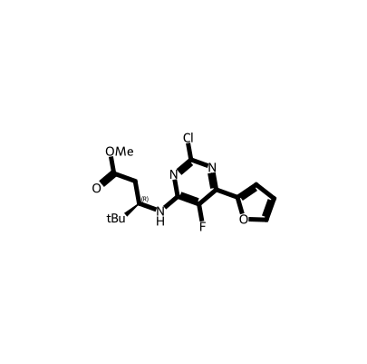 COC(=O)C[C@@H](Nc1nc(Cl)nc(-c2ccco2)c1F)C(C)(C)C